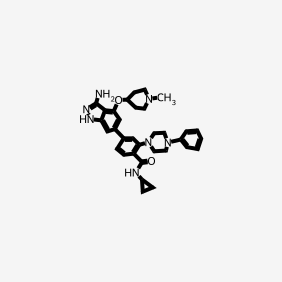 CN1CCC(Oc2cc(-c3ccc(C(=O)NC4CC4)c(N4CCN(c5ccccc5)CC4)c3)cc3[nH]nc(N)c23)CC1